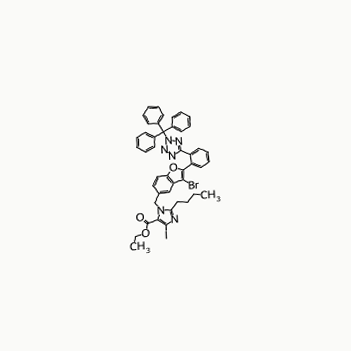 CCCCc1nc(I)c(C(=O)OCC)n1Cc1ccc2oc(-c3ccccc3-c3nnn(C(c4ccccc4)(c4ccccc4)c4ccccc4)n3)c(Br)c2c1